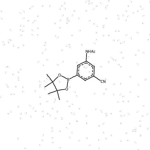 CC(=O)Nc1cc(C#N)cc(B2OC(C)(C)C(C)(C)O2)c1